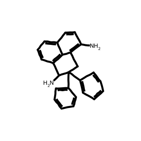 Nc1ccc2cccc3c2c1CC(c1ccccc1)(c1ccccc1)C3N